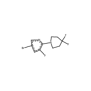 Fc1cc(Br)cnc1N1CCC(F)(F)CC1